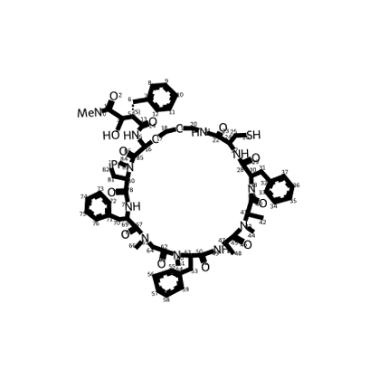 CNC(=O)C(O)[C@H](Cc1ccccc1)C(=O)NC1CCCCNC(=O)C(CS)NC(=O)C(Cc2ccccc2)NC(=O)C(C)N(C)C(=O)C(C)NC(=O)C(Cc2ccccc2)N(C)C(=O)CN(C)C(=O)C(Cc2ccccc2)NC(=O)C(CC(C)C)N(C)C1=O